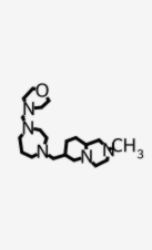 CN1CCN2CC(CN3CCCN(CN4CCOCC4)CC3)CCC2C1